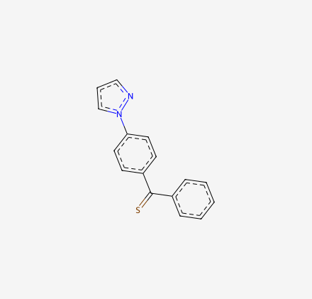 S=C(c1ccccc1)c1ccc(-n2cccn2)cc1